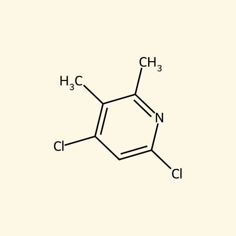 Cc1nc(Cl)cc(Cl)c1C